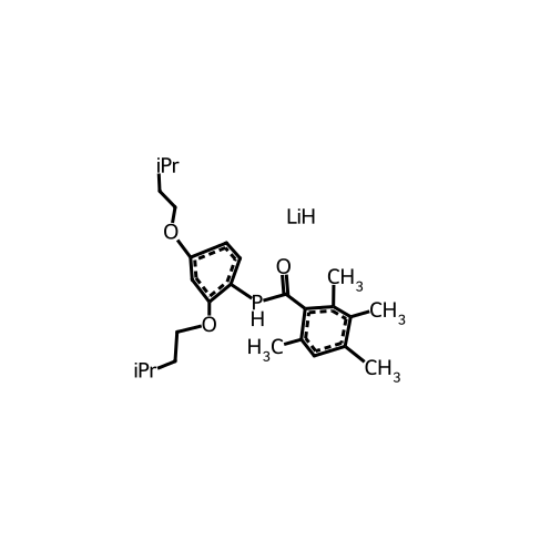 Cc1cc(C)c(C(=O)Pc2ccc(OCCC(C)C)cc2OCCC(C)C)c(C)c1C.[LiH]